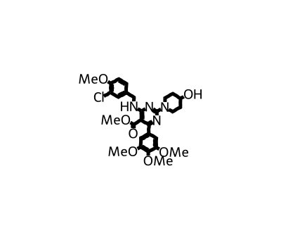 COC(=O)c1c(NCc2ccc(OC)c(Cl)c2)nc(N2CCC(O)CC2)nc1-c1cc(OC)c(OC)c(OC)c1